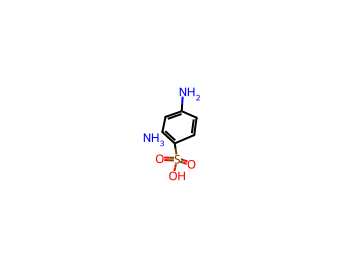 N.Nc1ccc(S(=O)(=O)O)cc1